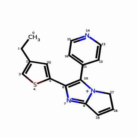 CCc1csc(-c2nc3n(c2-c2ccncc2)CC=C3)c1